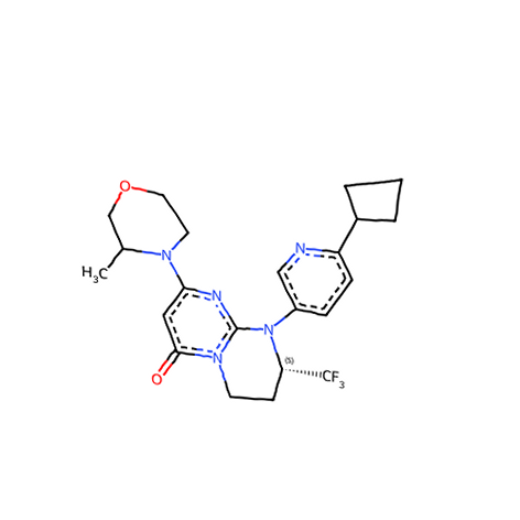 CC1COCCN1c1cc(=O)n2c(n1)N(c1ccc(C3CCC3)nc1)[C@H](C(F)(F)F)CC2